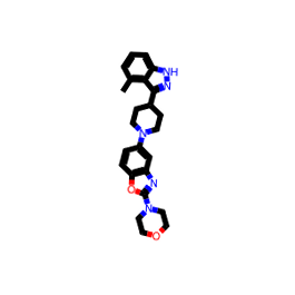 Cc1cccc2[nH]nc(C3CCN(c4ccc5oc(N6CCOCC6)nc5c4)CC3)c12